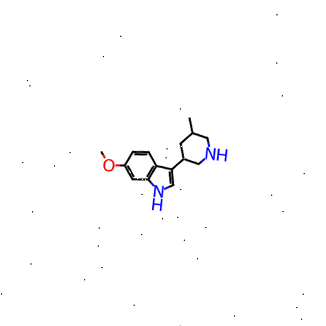 COc1ccc2c(C3CNCC(C)C3)c[nH]c2c1